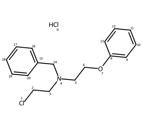 Cl.ClCCN(CCOc1ccccc1)Cc1ccccc1